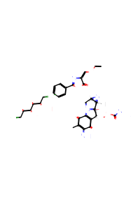 CCOC=C1N=C(c2ccccc2)OC1=O.CO[C@@]12[C@H](COC(N)=O)C3=C(C(=O)C(C)=C(N)C3=O)N1C[C@@H]1N[C@@H]12.OC(CBr)C(O)C(O)C(O)CBr